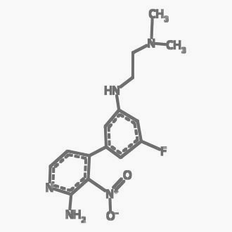 CN(C)CCNc1cc(F)cc(-c2ccnc(N)c2[N+](=O)[O-])c1